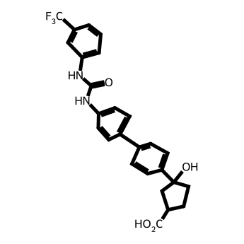 O=C(Nc1ccc(-c2ccc(C3(O)CCC(C(=O)O)C3)cc2)cc1)Nc1cccc(C(F)(F)F)c1